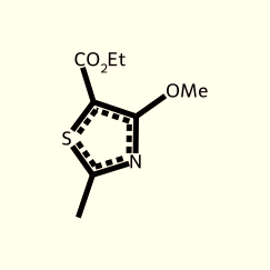 CCOC(=O)c1sc(C)nc1OC